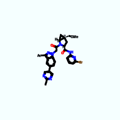 COC[C@@]12C[C@@H]1N(C(=O)Cn1nc(C(C)=O)c3cc(-c4cnc(C)nc4)ccc31)[C@H](C(=O)Nc1cccc(Br)n1)C2